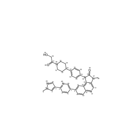 Cn1cc(-c2ccc(-c3ccc4ncc5c(c4c3)n(-c3ccc(C4CCN(C(=O)CO)CC4)cc3)c(=O)n5C)cn2)cn1